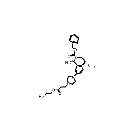 CCCOC(=O)CCN1CCN(c2ccc3c(c2)[C@@H](C)N(C(=O)OCc2ccccc2)CC[C@@H]3C)CC1